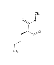 CCCC[C@H](N=O)C(=O)OC